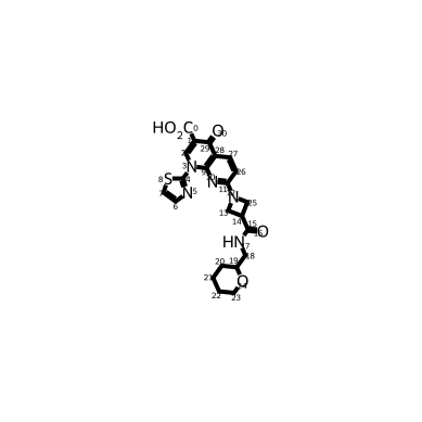 O=C(O)c1cn(-c2nccs2)c2nc(N3CC(C(=O)NCC4CCCCO4)C3)ccc2c1=O